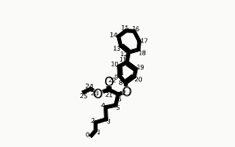 CCCCCCC(Oc1ccc(C2=CCCCCC2)cc1)C(=O)OCC